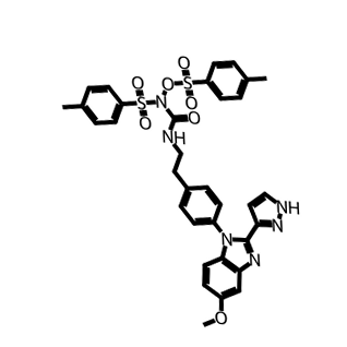 COc1ccc2c(c1)nc(-c1cc[nH]n1)n2-c1ccc(CCNC(=O)N(OS(=O)(=O)c2ccc(C)cc2)S(=O)(=O)c2ccc(C)cc2)cc1